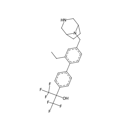 CCc1cc(CN2C3CCC2CNC3)ccc1-c1ccc(C(O)(C(F)(F)F)C(F)(F)F)cc1